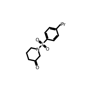 CC(C)c1ccc(S(=O)(=O)N2CCCC(=O)C2)cc1